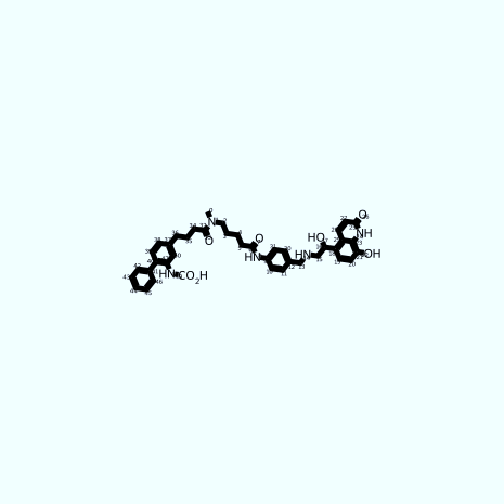 CN(CCCCC(=O)Nc1ccc(CNCC(O)c2ccc(O)c3[nH]c(=O)ccc23)cc1)C(=O)CCCc1ccc(-c2ccccc2)c(NC(=O)O)c1